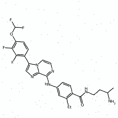 CCc1cc(Nc2nccn3c(-c4ccc(OC(F)F)c(F)c4F)cnc23)ccc1C(=O)NCCC(C)N